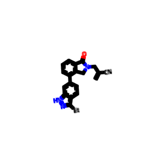 C=C(C#N)CN1Cc2c(cccc2-c2ccc3c(CC)n[nH]c3c2)C1=O